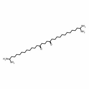 NC(N)CCCCCCCCCCCC(=O)CCCC(=O)CCCCCCCCCCCC(N)N